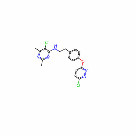 Cc1nc(C)c(Cl)c(NCCc2ccc(Oc3ccc(Cl)nn3)cc2)n1